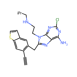 C#Cc1cc2sccc2cc1Cc1nc2c(N)nc(Cl)nc2n1CCNCC(C)C